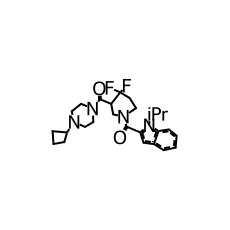 CC(C)n1c(C(=O)N2CCC(F)(F)C(C(=O)N3CCN(C4CCC4)CC3)C2)cc2ccccc21